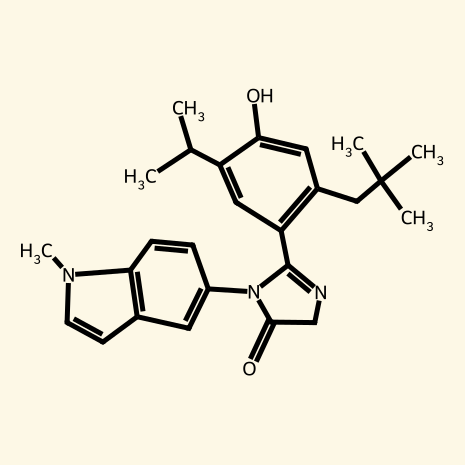 CC(C)c1cc(C2=NCC(=O)N2c2ccc3c(ccn3C)c2)c(CC(C)(C)C)cc1O